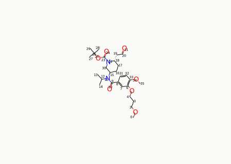 COCCCOc1cc(C(=O)N(C(C)C)C2CC[C@@H](CC=O)N(C(=O)OC(C)(C)C)C2)ccc1OC